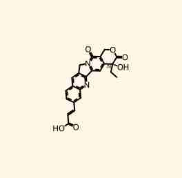 CC[C@@]1(O)C(=O)OCc2c1cc1n(c2=O)Cc2cc3ccc(C=CC(=O)O)cc3nc2-1